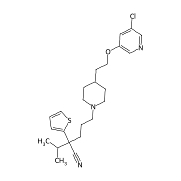 CC(C)C(C#N)(CCCN1CCC(CCOc2cncc(Cl)c2)CC1)c1cccs1